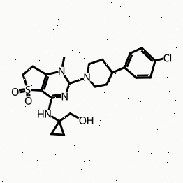 CN1C2=C(C(NC3(CO)CC3)=NC1N1CCC(c3ccc(Cl)cc3)CC1)S(=O)(=O)CC2